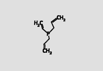 C=CCP(C=C)CC=C